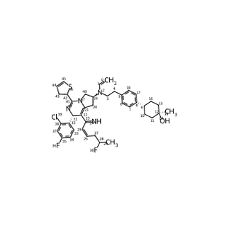 C=CN(CCc1ccc([C@H]2CC[C@](C)(O)CC2)cc1)[C@H]1CC2=C(C(=N)/C=C\CC(C)F)[C@H](c3ccc(F)cc3Cl)N=C(C3CC=CS3)N2C1